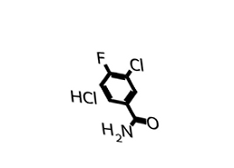 Cl.NC(=O)c1ccc(F)c(Cl)c1